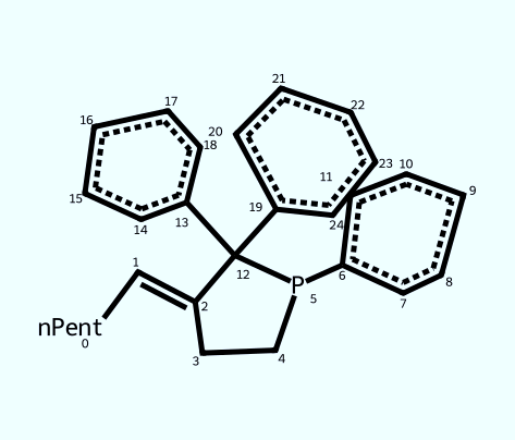 CCCCCC=C1CCP(c2ccccc2)C1(c1ccccc1)c1ccccc1